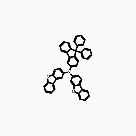 c1ccc(C2(c3ccccc3)c3ccccc3-c3cc(N(c4ccc5c(c4)oc4ccccc45)c4ccc5sc6ccccc6c5c4)ccc32)cc1